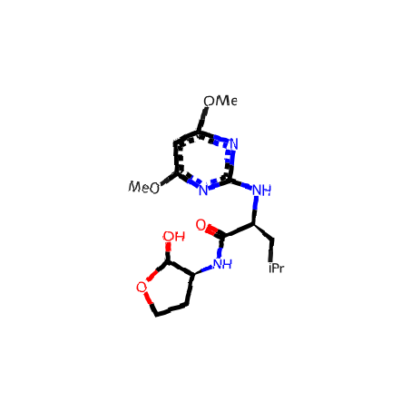 COc1cc(OC)nc(N[C@@H](CC(C)C)C(=O)N[C@H]2CCOC2O)n1